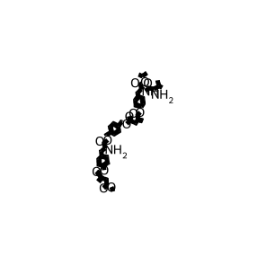 C=C(CC(=O)OC)C(=O)Oc1ccc(CC(N)C(=O)OCc2ccc(COC(=O)CC(=C)C(=O)Oc3ccc(CC(NC(=O)C(N)C(C)C)C(=O)OC(C)C)cc3)cc2)cc1